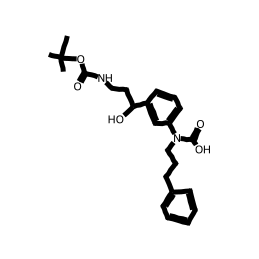 CC(C)(C)OC(=O)NCCC(O)c1cccc(N(CCCc2ccccc2)C(=O)O)c1